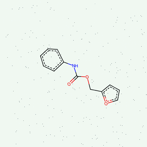 O=C(Nc1c[c]ccc1)OCc1ccco1